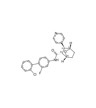 O=C(Nc1ccc(-c2ccccc2Cl)c(F)c1)[C@@H]1[C@@H](c2ccncc2)[C@@H]2CC[C@H]1O2